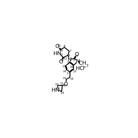 Cl.Cn1c(=O)n(C2CCC(=O)NC2=O)c2ccc(CCOC3CNC3)cc21